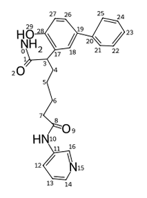 NC(=O)C(CCCCC(=O)Nc1cccnc1)c1cc(-c2ccccc2)ccc1O